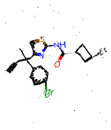 C#CC(C)(c1ccc(Br)cc1)c1csc(NC(=O)[C@H]2C[C@H](CC)C2)n1